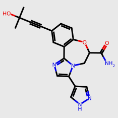 CC(C)(O)C#Cc1ccc2c(c1)-c1ncc(-c3cn[nH]c3)n1CC(C(N)=O)O2